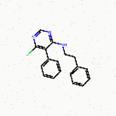 Clc1ncnc(NCCc2ccccc2)c1-c1ccccc1